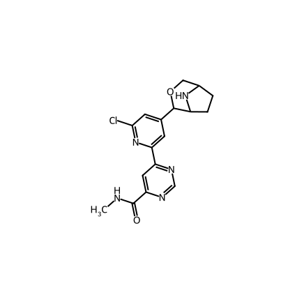 CNC(=O)c1cc(-c2cc(C3OCC4CCC3N4)cc(Cl)n2)ncn1